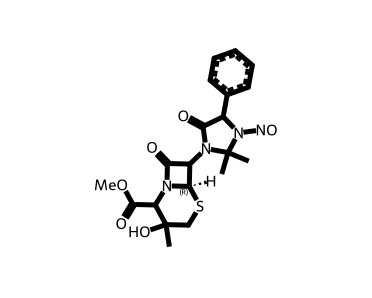 COC(=O)C1N2C(=O)C(N3C(=O)C(c4ccccc4)N(N=O)C3(C)C)[C@H]2SCC1(C)O